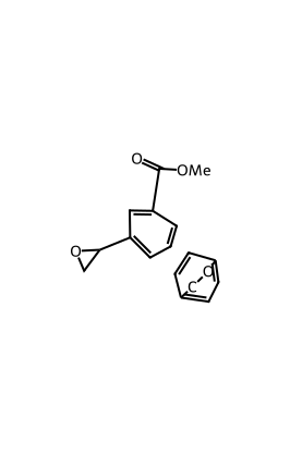 COC(=O)c1cccc(C2CO2)c1.c1cc2ccc1CO2